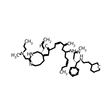 C=CC[C@H]1CN/C(CN(C)CCC)=N\CCC/C1=C/C(=C)C/C=C\C(=C)CC(C/C=C\CC)N/C(C[C@H](NCCC1CCCCC1)c1ccccc1)=N\C